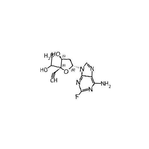 BC(O)[C@@]1(C#C)O[C@@H](n2cnc3c(N)nc(F)nc32)C[C@@H]1O